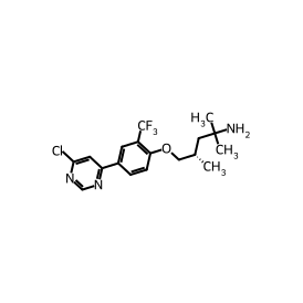 C[C@H](COc1ccc(-c2cc(Cl)ncn2)cc1C(F)(F)F)CC(C)(C)N